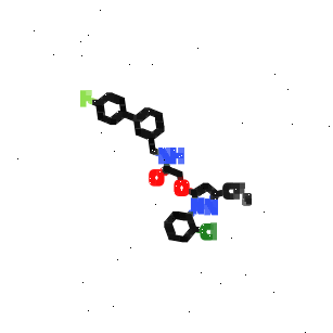 O=C(COc1cc(C(F)(F)F)nn1C1=CC=CCC1Cl)NCc1cccc(-c2ccc(F)cc2)c1